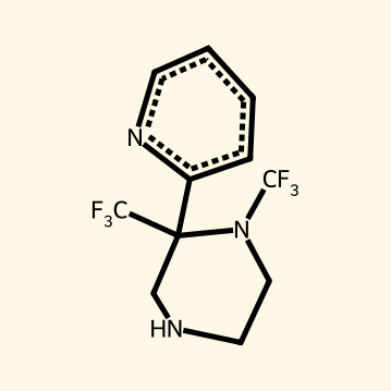 FC(F)(F)N1CCNCC1(c1ccccn1)C(F)(F)F